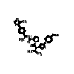 Cc1ncsc1-c1ccc([C@H](C)NC(=O)[C@@H]2CCCN2C(=O)C(c2cc(N3CCC(CO)CC3)no2)C(C)C)cc1